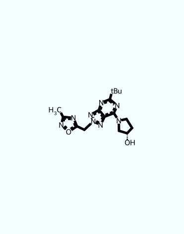 Cc1noc(Cn2nc3nc(C(C)(C)C)nc(N4CC[C@H](O)C4)c3n2)n1